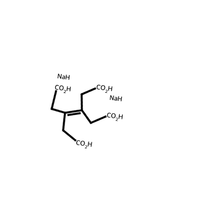 O=C(O)CC(CC(=O)O)=C(CC(=O)O)CC(=O)O.[NaH].[NaH]